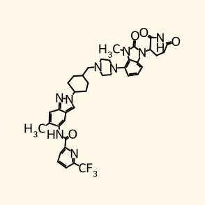 Cc1cc2nn(C3CCC(CN4CCN(c5cccc6c5n(C)c(=O)n6C5CCC(=O)NC5=O)CC4)CC3)cc2cc1NC(=O)c1cccc(C(F)(F)F)n1